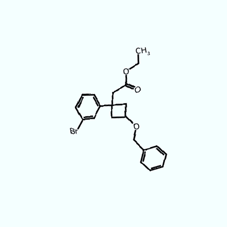 CCOC(=O)CC1(c2cccc(Br)c2)CC(OCc2ccccc2)C1